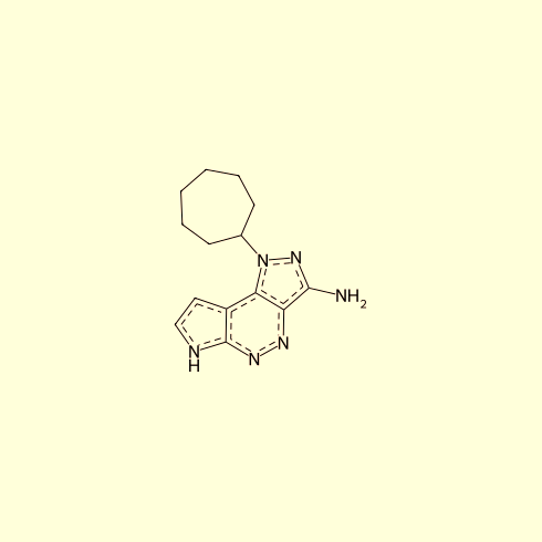 Nc1nn(C2CCCCCC2)c2c1nnc1[nH]ccc12